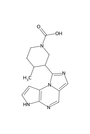 CC1CCN(C(=O)O)CC1c1ncc2cnc3[nH]ccc3n12